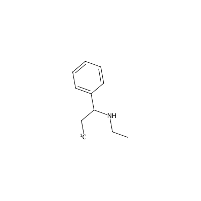 CCNC(C[1CH3])c1ccccc1